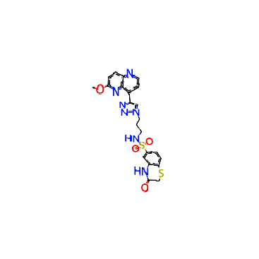 COc1ccc2nccc(-c3cn(CCCNS(=O)(=O)c4ccc5c(c4)NC(=O)CS5)nn3)c2n1